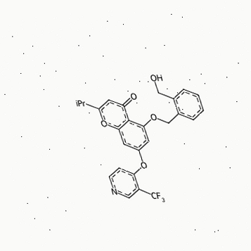 CC(C)c1cc(=O)c2c(OCc3ccccc3CO)cc(Oc3ccncc3C(F)(F)F)cc2o1